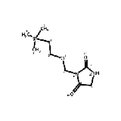 C[Si](C)(C)CCOCN1C(=O)CNC1=O